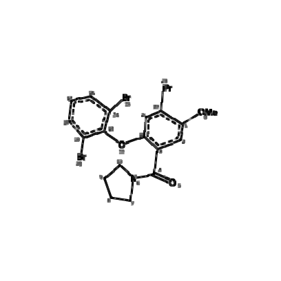 COc1cc(C(=O)N2CCCC2)c(Oc2c(Br)c[c]cc2Br)cc1C(C)C